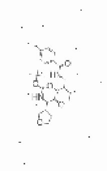 Cc1ccc(C(=O)NCC(NC(=O)C(NC(=O)OC(C)(C)C)C2CCOC2)C(C)C)cc1